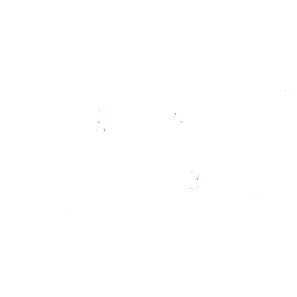 CC(NCc1nc2c(c(=O)[nH]1)COCC2)c1ccccc1